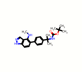 CNc1c(-c2ccc(C(C)(C)NC(=O)OC(C)(C)C)cc2)ccc2[nH]ncc12